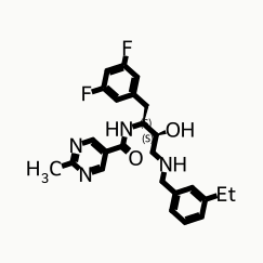 CCc1cccc(CNC[C@H](O)[C@H](Cc2cc(F)cc(F)c2)NC(=O)c2cnc(C)nc2)c1